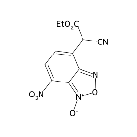 CCOC(=O)C(C#N)c1ccc([N+](=O)[O-])c2c1no[n+]2[O-]